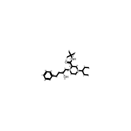 CCC(CC)N1CCN(C[C@H](O)[CH]Cc2ccccc2)C(C(=O)NC(C)(C)C)C1